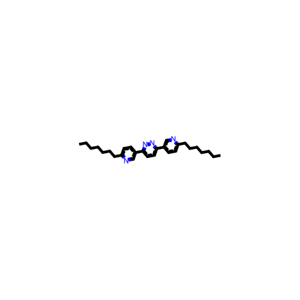 CCCCCCCc1ccc(-c2ccc(-c3ccc(CCCCCCC)nc3)nn2)cn1